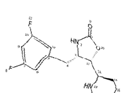 O=C1N[C@@H](Cc2cc(F)cc(F)c2)[C@@H]([C@H]2CCCCN2)O1